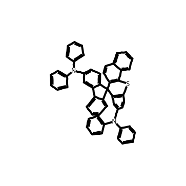 c1ccc(N(c2ccccc2)c2ccc3c(c2)-c2ccccc2C32c3cc(N(c4ccccc4)c4ccccc4)ccc3Sc3c2ccc2ccccc32)cc1